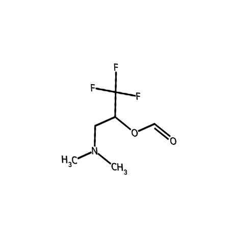 CN(C)CC(OC=O)C(F)(F)F